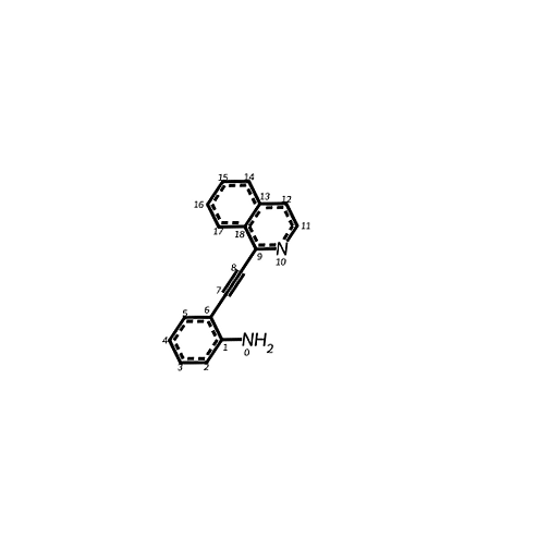 Nc1ccccc1C#Cc1nccc2ccccc12